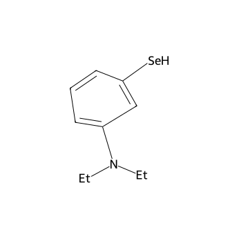 CCN(CC)c1cccc([SeH])c1